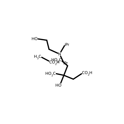 CC(=O)O.CC(C)N(CCO)C(C)C.O=C(O)CC(O)(CC(=O)O)C(=O)O